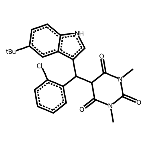 CN1C(=O)C(C(c2ccccc2Cl)c2c[nH]c3ccc(C(C)(C)C)cc23)C(=O)N(C)C1=O